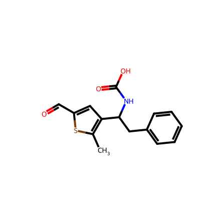 Cc1sc(C=O)cc1C(Cc1ccccc1)NC(=O)O